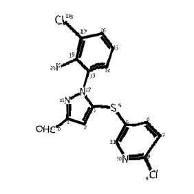 O=Cc1cc(Sc2ccc(Cl)nc2)n(-c2cccc(Cl)c2F)n1